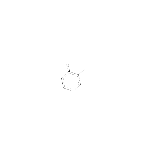 Cc1coccc1=S